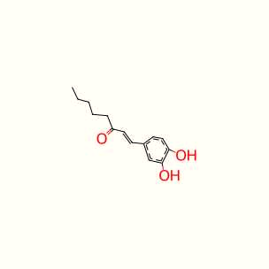 CCCCCC(=O)C=Cc1ccc(O)c(O)c1